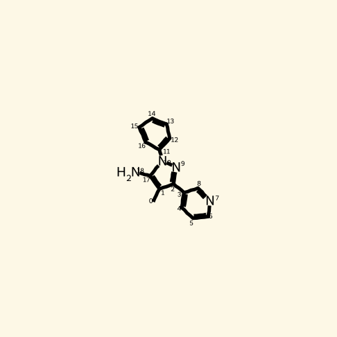 Cc1c(-c2cccnc2)nn(-c2ccccc2)c1N